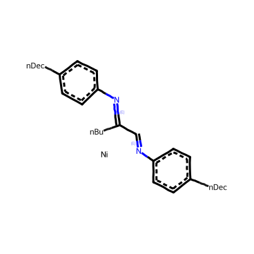 CCCCCCCCCCc1ccc(/N=C/C(CCCC)=N/c2ccc(CCCCCCCCCC)cc2)cc1.[Ni]